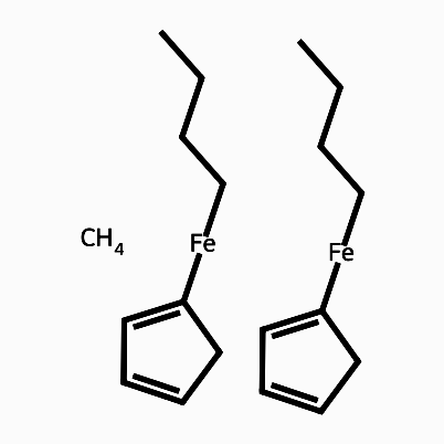 C.CCC[CH2][Fe][C]1=CC=CC1.CCC[CH2][Fe][C]1=CC=CC1